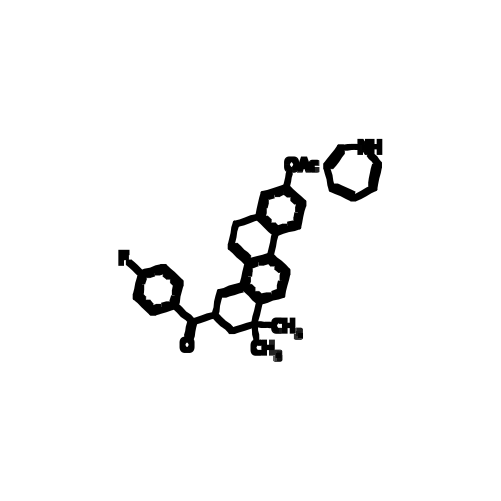 C1=CC=CNC=C1.CC(=O)Oc1ccc2c(c1)CC=c1c-2ccc2c1=CC(C(=O)c1ccc(F)cc1)CC2(C)C